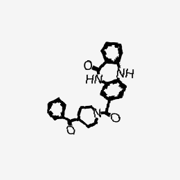 O=C1Nc2cc(C(=O)N3CCC(C(=O)c4ccccc4)CC3)ccc2Nc2ccccc21